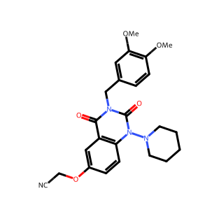 COc1ccc(Cn2c(=O)c3cc(OCC#N)ccc3n(N3CCCCC3)c2=O)cc1OC